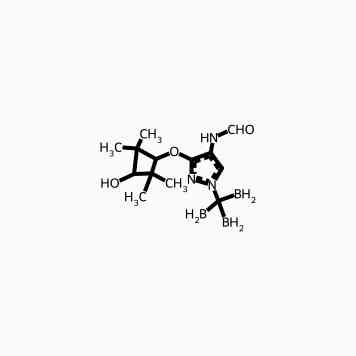 BC(B)(B)n1cc(NC=O)c(OC2C(C)(C)C(O)C2(C)C)n1